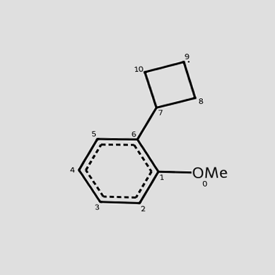 COc1ccccc1C1C[CH]C1